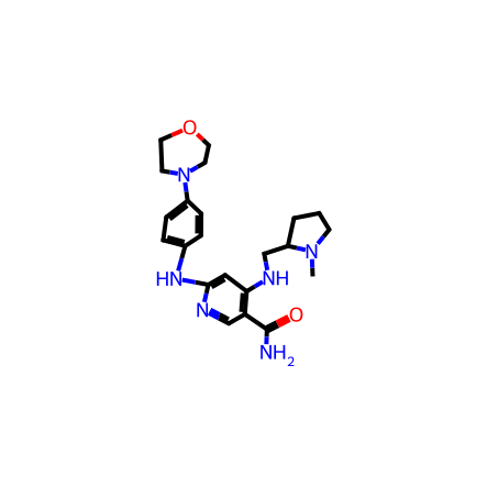 CN1CCCC1CNc1cc(Nc2ccc(N3CCOCC3)cc2)ncc1C(N)=O